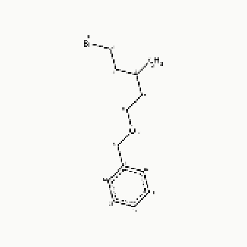 CC(CCBr)CCOCc1ccccc1